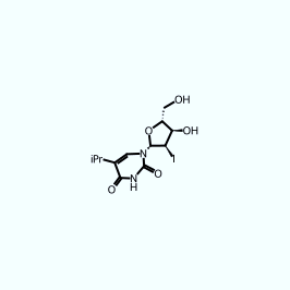 CC(C)c1cn([C@@H]2O[C@H](CO)[C@@H](O)[C@H]2I)c(=O)[nH]c1=O